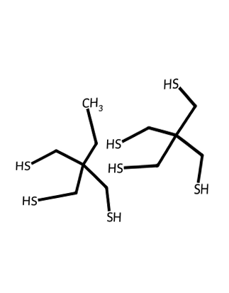 CCC(CS)(CS)CS.SCC(CS)(CS)CS